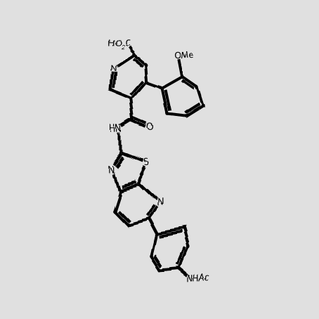 COc1ccccc1-c1cc(C(=O)O)ncc1C(=O)Nc1nc2ccc(-c3ccc(NC(C)=O)cc3)nc2s1